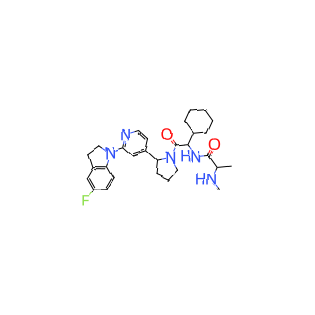 CNC(C)C(=O)NC(C(=O)N1CCCC1c1ccnc(N2CCc3cc(F)ccc32)c1)C1CCCCC1